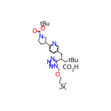 CC(C)(C)OC(=O)N1CCC(c2ccc(C[C@H](c3nnnn3COCC[Si](C)(C)C)[C@@H](C(=O)O)C(C)(C)C)cn2)C1